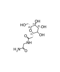 NC(=O)CNC(=O)C[C@@H]1O[C@H](CO)[C@@H](O)[C@H](O)C1O